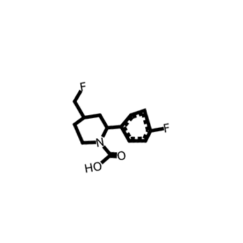 O=C(O)N1CCC(CF)CC1c1ccc(F)cc1